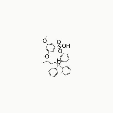 CCCC[PH](c1ccccc1)(c1ccccc1)c1ccccc1.COc1cc(OC)cc(S(=O)(=O)O)c1